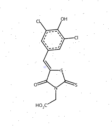 O=C(O)CN1C(=O)/C(=C/c2cc(Cl)c(O)c(Cl)c2)SC1=S